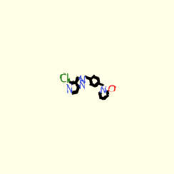 O=c1ccccn1Cc1ccc(Cn2cc3c(Cl)nccc3n2)cc1